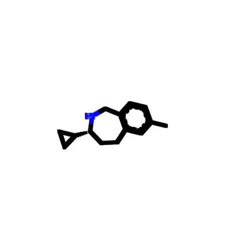 Cc1ccc2c(c1)CC[C@H](C1CC1)NC2